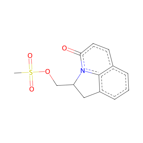 CS(=O)(=O)OCC1Cc2cccc3ccc(=O)n1c23